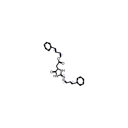 O=C(CC1N/C(=N/N=C\C=C\c2ccccc2)NC1=O)O/C=C\C=C\c1ccccc1